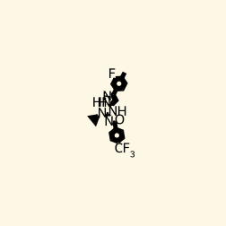 Cc1ccc(-c2cc(N/C(=N\C(=O)c3ccc(C(F)(F)F)cc3)NC3CC3)[nH]n2)cc1F